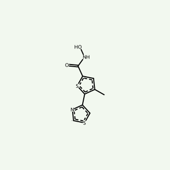 Cc1cc(C(=O)NO)sc1-c1cs[c]n1